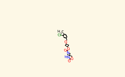 Cc1ccc(COC2CC(OC(=O)N3CC4(COC(=O)N4)C3)C2)cc1Cl